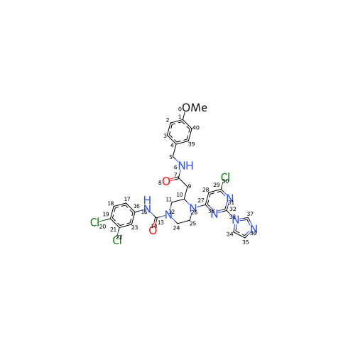 COc1ccc(CNC(=O)CC2CN(C(=O)Nc3ccc(Cl)c(Cl)c3)CCN2c2cc(Cl)nc(-n3ccnc3)n2)cc1